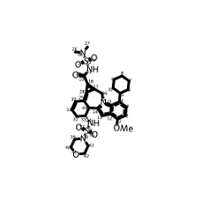 COc1ccc(C2CCCCC2)c2c1cc1n2CC2=C(C(=O)NS(=O)(=O)N(C)C)C2=C2C=CC[C@@H](NS(=O)(=O)N3CCOCC3)C21